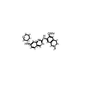 COc1cc2c(cc1Nc1ncc3ccc(N[C@H]4CCCOC4)cc3n1)CN(C)CC2